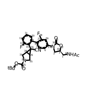 CC(=O)NC[C@H]1CN(c2ccc(-c3cccc(F)c3C3(C#N)C4CN(C(=O)OC(C)(C)C)CC43)c(F)c2)C(=O)O1